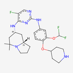 CC1(C)C[C@H](Nc2nc(Nc3ccc(OC4CCNCC4)c(OC(F)F)c3)ncc2F)C[C@@H]2CCCN21